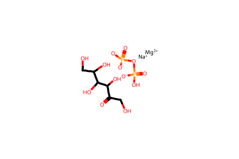 O=C(CO)C(O)C(O)C(O)CO.O=P([O-])([O-])OP(=O)([O-])O.[Mg+2].[Na+]